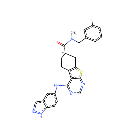 CN(Cc1cccc(F)c1)C(=O)[C@H]1CCc2c(sc3ncnc(Nc4ccc5[nH]ncc5c4)c23)C1